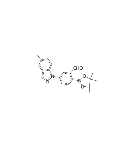 Cc1ccc2c(cnn2-c2ccc(B3OC(C)(C)C(C)(C)O3)c(C=O)c2)c1